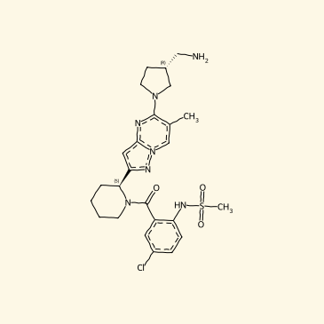 Cc1cn2nc([C@@H]3CCCCN3C(=O)c3cc(Cl)ccc3NS(C)(=O)=O)cc2nc1N1CC[C@H](CN)C1